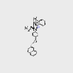 N/C(=C\N(N)c1ccc(C2CC2Cc2ccc3ccccc3c2)cc1)c1ccccc1